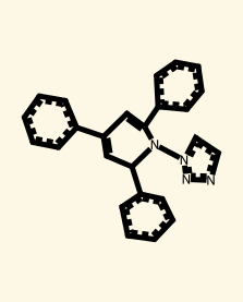 C1=C(c2ccccc2)C=C(c2ccccc2)N(n2ccnn2)C1c1ccccc1